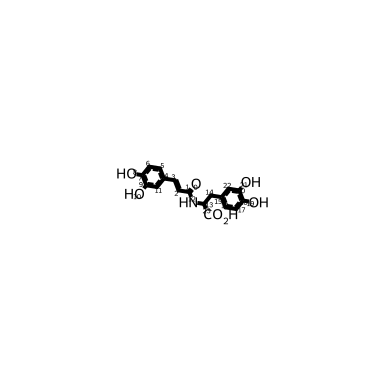 O=C(/C=C/c1ccc(O)c(O)c1)NC(Cc1ccc(O)c(O)c1)C(=O)O